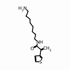 C=C(C(=O)NCCCCCCCCN)c1ccsc1